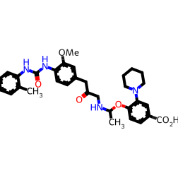 COc1cc(CC(=O)CNC(C)Oc2ccc(C(=O)O)cc2N2CCCCC2)ccc1NC(=O)Nc1ccccc1C